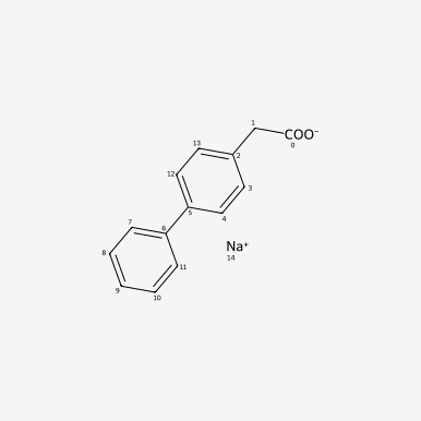 O=C([O-])Cc1ccc(-c2ccccc2)cc1.[Na+]